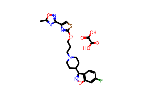 Cc1nc(-c2csc(OCCCN3CCC(c4noc5cc(F)ccc45)CC3)n2)no1.O=C(O)C(=O)O